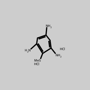 CSc1c(N)cc(N)cc1N.Cl.Cl